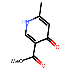 COC(=O)c1c[nH]c(C)cc1=O